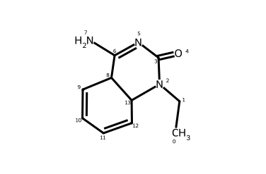 CCN1C(=O)N=C(N)C2C=CC=CC21